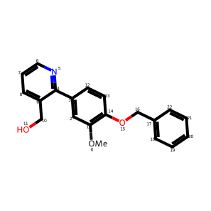 COc1cc(-c2ncccc2CO)ccc1OCc1ccccc1